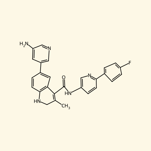 CC1=C(C(=O)Nc2ccc(-c3ccc(F)cc3)nc2)c2cc(-c3cncc(N)c3)ccc2NC1